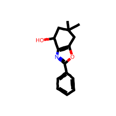 CC1(C)Cc2oc(-c3ccccc3)nc2C(O)C1